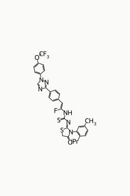 Cc1ccc(C(C)C)c(N2C(=O)CS/C2=N\C(=S)N/C(F)=C/c2ccc(-c3ncn(-c4ccc(OC(F)(F)F)cc4)n3)cc2)c1